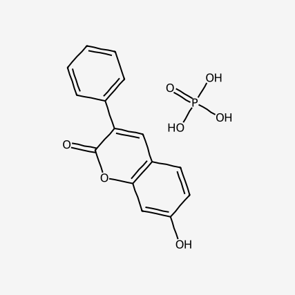 O=P(O)(O)O.O=c1oc2cc(O)ccc2cc1-c1ccccc1